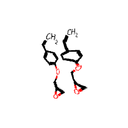 C=Cc1ccc(OCC2CO2)cc1.C=Cc1ccc(OCC2CO2)cc1